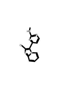 CNc1nccc(-c2c(Cl)nc3ccccn23)n1